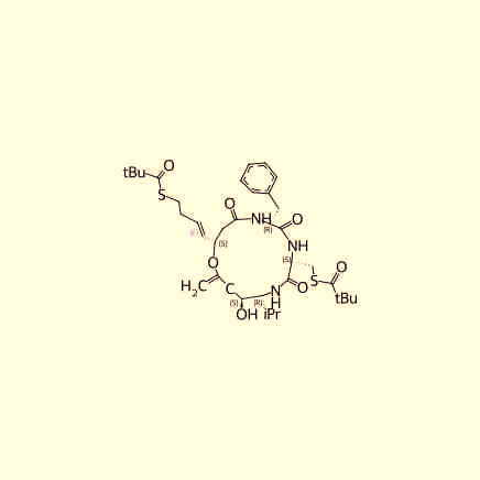 C=C1C[C@H](O)[C@@H](C(C)C)NC(=O)[C@@H](CSC(=O)C(C)(C)C)NC(=O)[C@@H](Cc2ccccc2)NC(=O)C[C@@H](/C=C/CCSC(=O)C(C)(C)C)O1